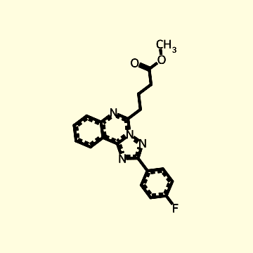 COC(=O)CCCc1nc2ccccc2c2nc(-c3ccc(F)cc3)nn12